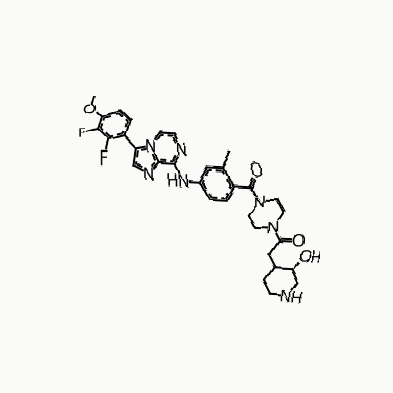 COc1ccc(-c2cnc3c(Nc4ccc(C(=O)N5CCN(C(=O)CC6CCNC[C@@H]6O)CC5)c(C)c4)nccn23)c(F)c1F